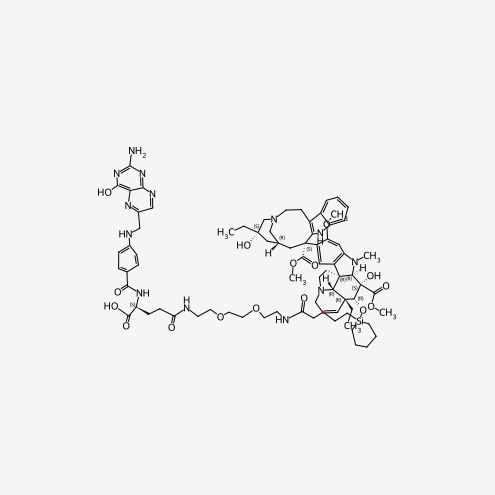 CC[C@]1(O)C[C@@H]2CN(CCc3c([nH]c4ccccc34)[C@@](C(=O)OC)(c3cc4c(cc3OC)N(C)[C@H]3[C@@](O)(C(=O)OC)[C@H](O[Si]5(CCCCC(=O)NCCOCCOCCNC(=O)CC[C@H](NC(=O)c6ccc(NCc7cnc8nc(N)nc(O)c8n7)cc6)C(=O)O)CCCCC5)[C@]5(CC)C=CCN6CC[C@]43[C@@H]65)C2)C1